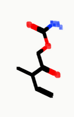 C=CC(C)C(=O)COC(N)=O